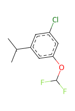 C[C](C)c1cc(Cl)cc(OC(F)F)c1